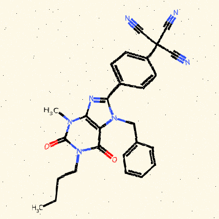 CCCCn1c(=O)c2c(nc(-c3ccc(C(C#N)(C#N)C#N)cc3)n2Cc2ccccc2)n(C)c1=O